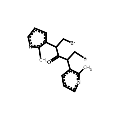 Cc1ncccc1C(CBr)C(=O)C(CBr)c1cccnc1C